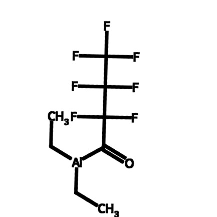 C[CH2][Al]([CH2]C)[C](=O)C(F)(F)C(F)(F)C(F)(F)F